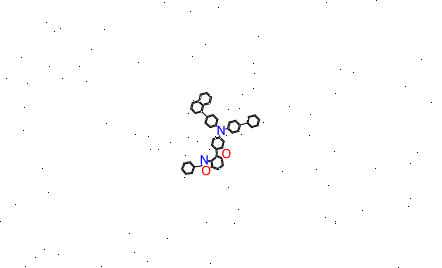 c1ccc(-c2ccc(N(c3ccc(-c4cccc5ccccc45)cc3)c3ccc4c(c3)oc3ccc5oc(-c6ccccc6)nc5c34)cc2)cc1